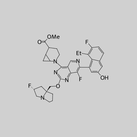 CCc1c(F)ccc2cc(O)cc(-c3ncc4c(N5CCC(C(=O)OC)C6CC65)nc(OC[C@@]56CCCN5C[C@H](F)C6)nc4c3F)c12